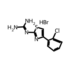 Br.NC(N)=Nc1nc(-c2ccccc2Cl)cs1